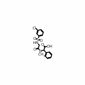 CN(C(=O)CNS(=O)(=O)c1cccc(Cl)c1)C(C(=O)O)c1ccccc1